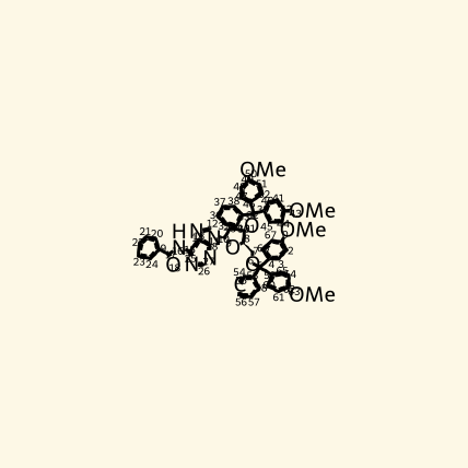 COc1ccc(C(OC[C@H]2O[C@@H](n3cnc4c(NC(=O)c5ccccc5)ncnc43)C[C@@H]2OC(c2ccccc2)(c2ccc(OC)cc2)c2ccc(OC)cc2)(c2ccccc2)c2ccc(OC)cc2)cc1